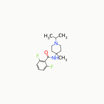 CC(C)N1CCC(C)(NC(=O)c2c(F)cccc2F)CC1